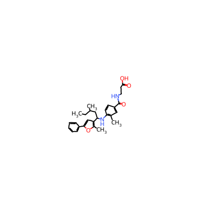 CCC(C)CC(Nc1ccc(C(=O)NCCC(=O)O)cc1C)c1cc(-c2ccccc2)oc1C